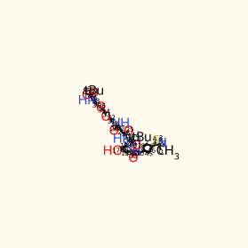 Cc1ncsc1-c1ccc(CNC(=O)[C@@H]2C[C@@H](O)CN2C(=O)[C@@H](NC(=O)CCC(=O)NCCOCCOCCNC(=O)OC(C)(C)C)C(C)(C)C)cc1